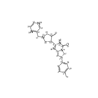 Cc1ccc(N2C=C3N=C(C4CN(Cc5cnccn5)CC4C)NC(=O)N3C2)cc1